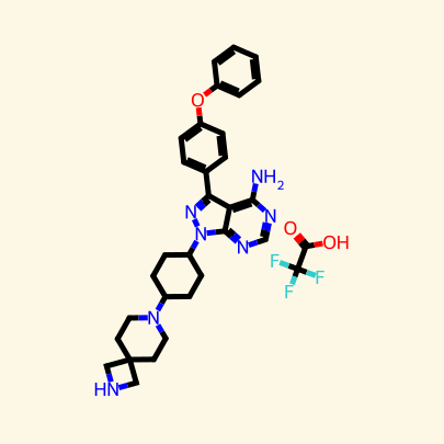 Nc1ncnc2c1c(-c1ccc(Oc3ccccc3)cc1)nn2C1CCC(N2CCC3(CC2)CNC3)CC1.O=C(O)C(F)(F)F